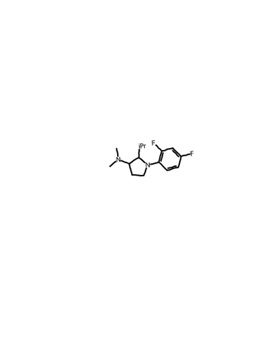 CC(C)C1C(N(C)C)CCN1c1ccc(F)cc1F